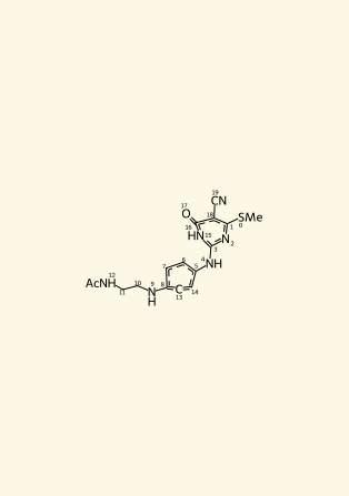 CSc1nc(Nc2ccc(NCCNC(C)=O)cc2)[nH]c(=O)c1C#N